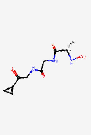 CC(C)[C@H](NO)C(=O)NCC(=O)NCC(=O)C1CC1